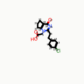 O=C(O)Cn1c(CCc2ccc(Cl)cc2)nc(=O)c2c1CCC2